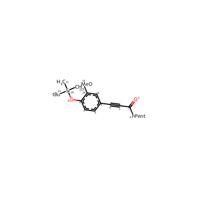 CCCCCC(=O)C#Cc1ccc(O[Si](C)(C)C(C)(C)C)c(OC)c1